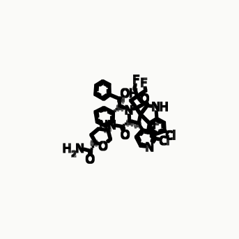 NC(=O)[C@@H]1CC[C@@H](NC(=O)[C@H]2[C@H](c3ccnc(Cl)c3F)C3(C(=O)Nc4cc(Cl)ccc43)C3(CC(CF)(CF)C3)N2[C@H](c2ccccc2)[C@@H](O)c2ccccc2)CO1